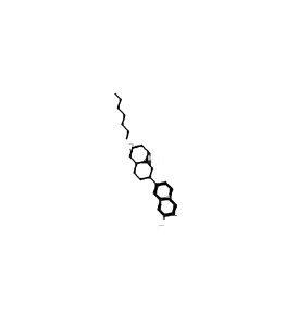 CCCCCCC[C@@H]1CC[C@@H]2CC(c3ccc4cc(F)c(F)cc4c3)CCC2C1